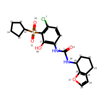 O=C(Nc1ccc(Cl)c(S(=O)(=O)C2CCCC2)c1O)NC1CCCc2ccoc21